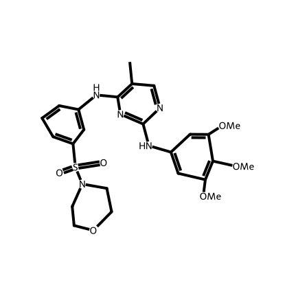 COc1cc(Nc2ncc(C)c(Nc3cccc(S(=O)(=O)N4CCOCC4)c3)n2)cc(OC)c1OC